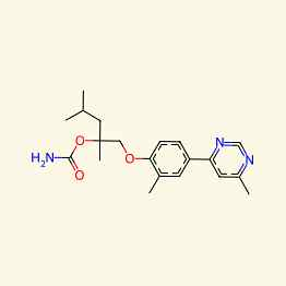 Cc1cc(-c2ccc(OCC(C)(CC(C)C)OC(N)=O)c(C)c2)ncn1